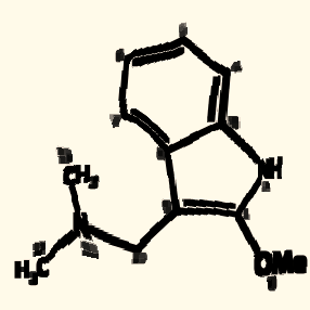 COc1[nH]c2ccccc2c1CN(C)C